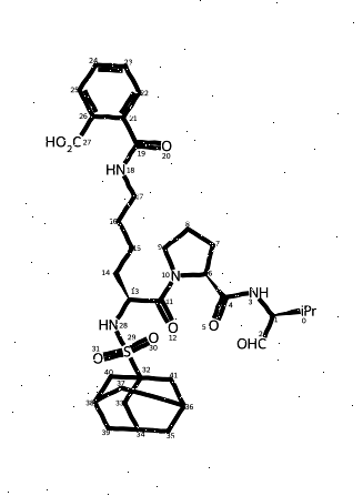 CC(C)[C@@H](C=O)NC(=O)[C@@H]1CCCN1C(=O)[C@H](CCCCNC(=O)c1ccccc1C(=O)O)NS(=O)(=O)C12CC3CC(CC(C3)C1)C2